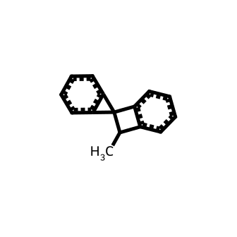 CC1c2ccccc2C12c1ccccc12